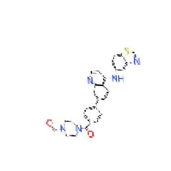 O=CN1CCN(C(=O)c2ccc(-c3ccc4c(Nc5ccc6scnc6c5)ccnc4c3)cc2)CC1